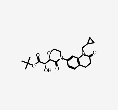 CC(C)(C)OC(=O)[C@H](O)[C@H]1OCCN(c2ccc3c(c2)N(CC2CC2)C(=O)CC3)C1=O